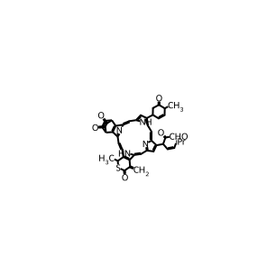 C=C1C(=O)SC(C)c2c1c1cc3nc(cc4[nH]c(cc5nc(cc2[nH]1)C1=C5C2C=CC1C(=O)C2=O)cc4C1C=CC(C)C(=O)C1)C(C(/C=C\C(C)C)C(=O)C=O)=C3